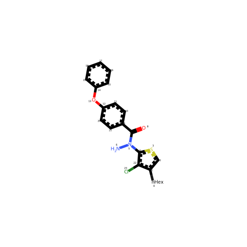 CCCCCCc1csc(N(N)C(=O)c2ccc(Oc3ccccc3)cc2)c1Cl